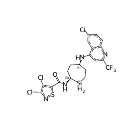 O=C(N[C@H]1CC[C@@H](Nc2cc(C(F)(F)F)nc3ccc(Cl)cc23)CC[SiH2]1)c1snc(Cl)c1Cl